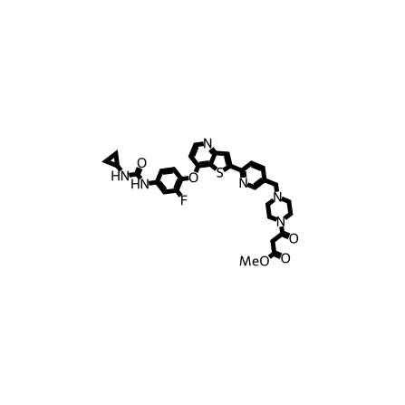 COC(=O)CC(=O)N1CCN(Cc2ccc(-c3cc4nccc(Oc5ccc(NC(=O)NC6CC6)cc5F)c4s3)nc2)CC1